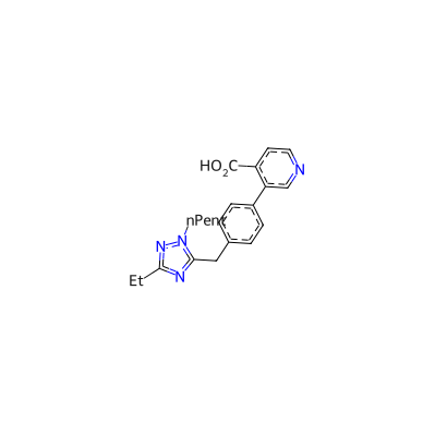 CCCCCn1nc(CC)nc1Cc1ccc(-c2cnccc2C(=O)O)cc1